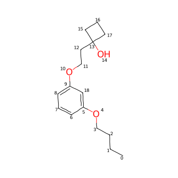 CCCCOc1cccc(OCCC2(O)CCC2)c1